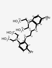 CC(C)c1ccc(N(CC(=O)O)CC(=O)O)c(OCCOc2cc(C(C)(C)C)ccc2N(CC(=O)O)CC(=O)O)c1